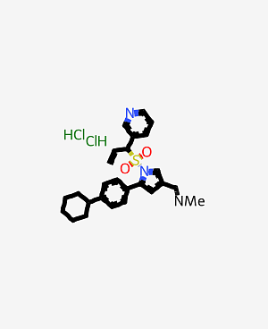 C=CC(c1cccnc1)S(=O)(=O)n1cc(CNC)cc1-c1ccc(C2CCCCC2)cc1.Cl.Cl